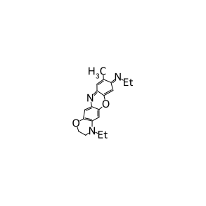 CCN=c1cc2oc3cc4c(cc3nc-2cc1C)OCCN4CC